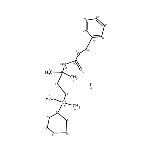 CC(C)(CC[N+](C)(C)C1CCCCC1)NC(=O)OCc1ccccc1.[I-]